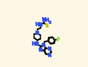 NC(=S)NCCN1CCC(Nc2nc3cncnc3n2Cc2ccc(F)cc2)CC1